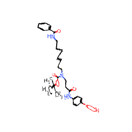 CC(C)(C)OC(=O)N(CCCCCCCNC(=O)c1ccccc1)CCC(=O)Nc1ccc(O)cc1